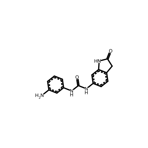 Nc1cccc(NC(=O)Nc2ccc3c(c2)NC(=O)C3)c1